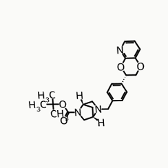 CC(C)(C)OC(=O)N1C[C@@H]2C[C@H]1CN2Cc1ccc([C@H]2COc3cccnc3O2)cc1